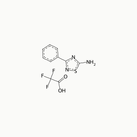 Nc1nc(-c2ccccc2)ns1.O=C(O)C(F)(F)F